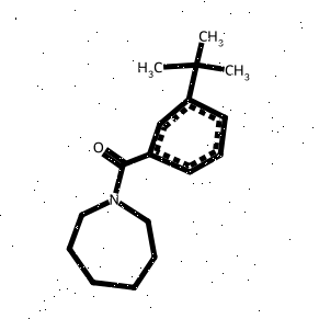 CC(C)(C)c1cccc(C(=O)N2CCCCCC2)c1